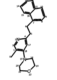 Cc1cnc(CCc2cccc3ccccc23)cc1N1CCOCC1